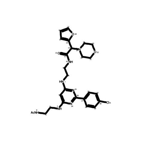 CC(=O)NCCNc1cc(NCCNC(=O)C(c2ccco2)N2CCOCC2)nc(-c2ccc(Cl)cc2)n1